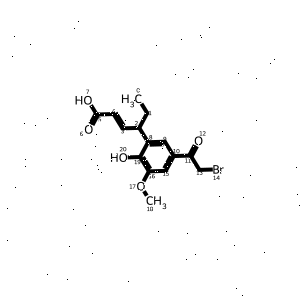 CCC(C=CC(=O)O)c1cc(C(=O)CBr)cc(OC)c1O